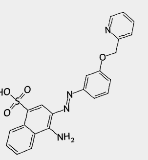 Nc1c(N=Nc2cccc(OCc3ccccn3)c2)cc(S(=O)(=O)O)c2ccccc12